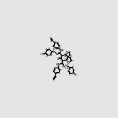 C#Cc1ccc(NC(=NNc2ccc(Cl)cc2)C(C(=O)C(C(=NNc2ccc(Cl)cc2)Nc2ccc(C#C)cc2)c2ccco2)c2ccco2)cc1